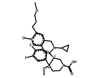 COCCCc1cc(CN(C(=O)[C@H]2CN(C(=O)O)CC[C@]2(OC)c2ccc(F)c(F)c2)C2CC2)c(Cl)c[n+]1[O-]